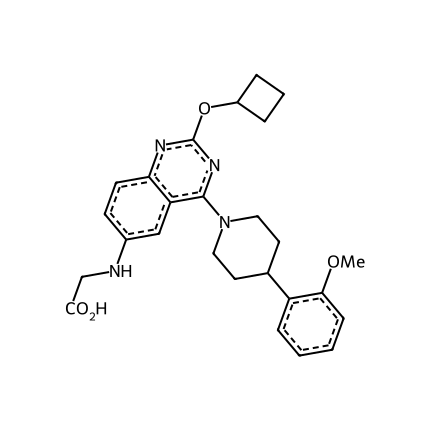 COc1ccccc1C1CCN(c2nc(OC3CCC3)nc3ccc(NCC(=O)O)cc23)CC1